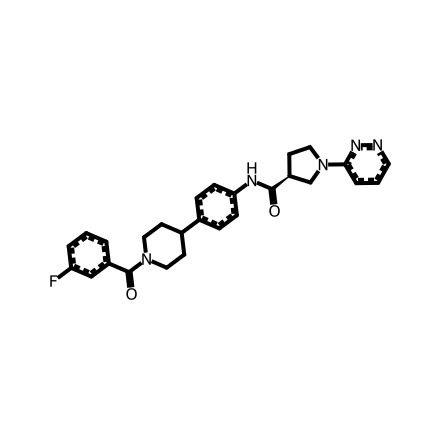 O=C(Nc1ccc(C2CCN(C(=O)c3cccc(F)c3)CC2)cc1)[C@H]1CCN(c2cccnn2)C1